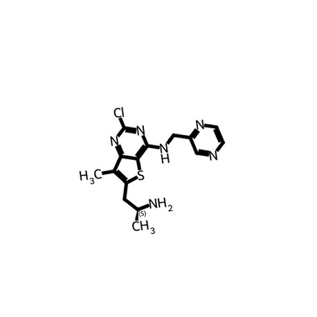 Cc1c(C[C@H](C)N)sc2c(NCc3cnccn3)nc(Cl)nc12